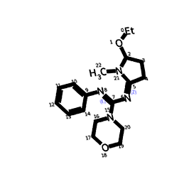 CCOC1CC/C(=N/C(=N/c2ccccc2)N2CCOCC2)N1C